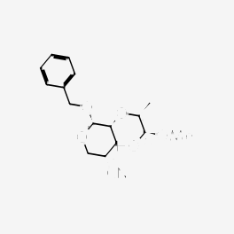 CO[C@@H](O)[C@H](C)O[C@H]1C[C@H](C#N)CO[C@H]1OCc1ccccc1